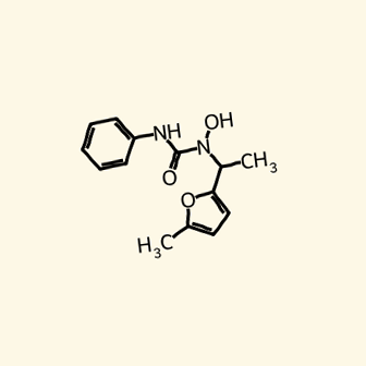 Cc1ccc(C(C)N(O)C(=O)Nc2ccccc2)o1